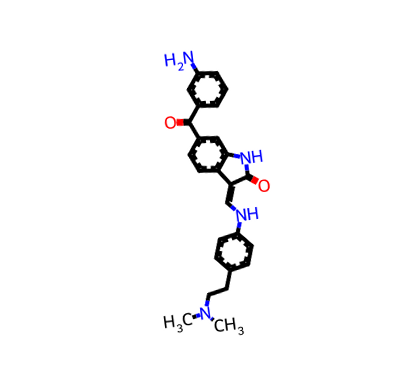 CN(C)CCc1ccc(NC=C2C(=O)Nc3cc(C(=O)c4cccc(N)c4)ccc32)cc1